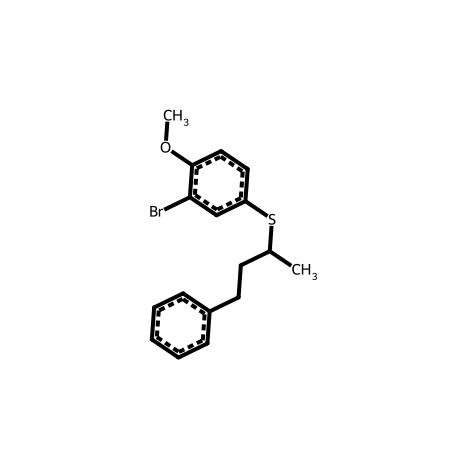 COc1ccc(SC(C)CCc2ccccc2)cc1Br